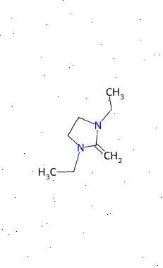 C=C1N(CC)CCN1CC